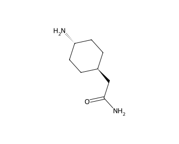 NC(=O)C[C@H]1CC[C@H](N)CC1